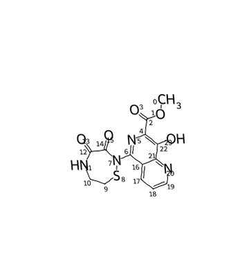 COC(=O)c1nc(N2SCCNC(=O)C2=O)c2cccnc2c1O